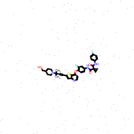 CC(C)(C#Cc1cc2nccc(Oc3ccc(NC(=O)C4(C(=O)Nc5ccc(F)cc5)CC4)cc3F)c2s1)N1CCC(CO)CC1